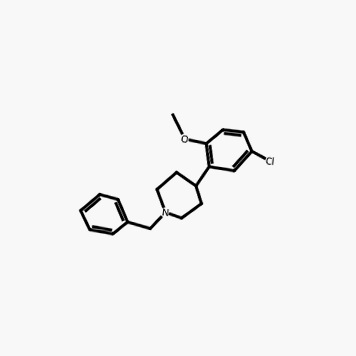 COc1ccc(Cl)cc1C1CCN(Cc2ccccc2)CC1